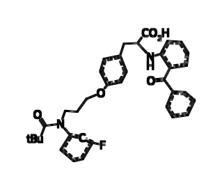 CC(C)(C)C(=O)N(CCCOc1ccc(CC(Nc2ccccc2C(=O)c2ccccc2)C(=O)O)cc1)c1cccc(F)c1